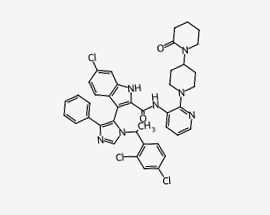 CC(c1ccc(Cl)cc1Cl)n1cnc(-c2ccccc2)c1-c1c(C(=O)Nc2cccnc2N2CCC(N3CCCCC3=O)CC2)[nH]c2cc(Cl)ccc12